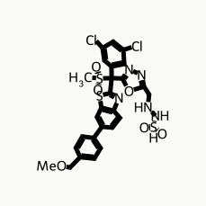 COCc1ccc(-c2ccc3nc(C(c4cc(Cl)cc(Cl)c4)(c4nnc(CNN[SH](=O)=O)o4)S(C)(=O)=O)sc3c2)cc1